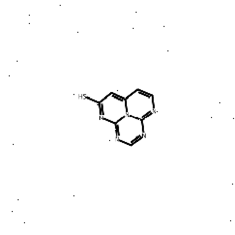 SC1=NC2=NC=NC3=NC=CC(=C1)N32